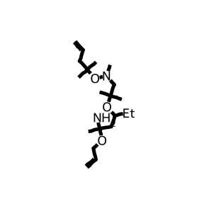 C=CCOC(C)(N)CC(CC)OC(C)(C)CN(C)OC(C)(C)CC=C